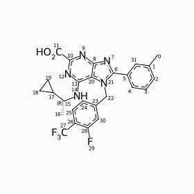 Cc1cccc(-c2nc3nc(C(=O)O)nc(N[C@H](C)C4CC4)c3n2Cc2ccc(C(F)(F)F)c(F)c2)c1